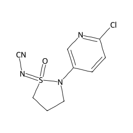 N#CN=S1(=O)CCCN1c1ccc(Cl)nc1